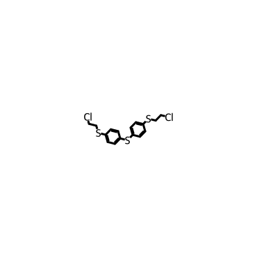 ClCCSc1ccc(Sc2ccc(SCCCl)cc2)cc1